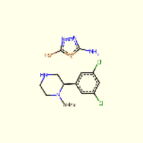 CCCCCCN1CCNCC1c1cc(Cl)cc(Cl)c1.Nc1nnc(S)s1